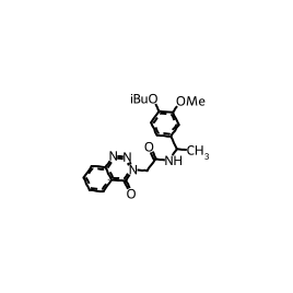 COc1cc(C(C)NC(=O)Cn2nnc3ccccc3c2=O)ccc1OCC(C)C